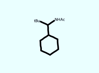 CC(=O)NC(C1CCCCC1)C(C)(C)C